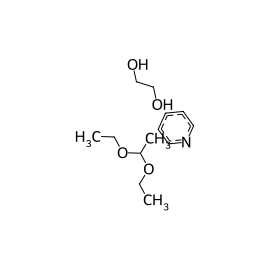 CCOC(C)OCC.OCCO.c1ccncc1